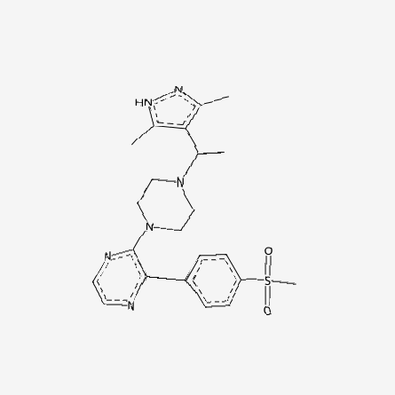 Cc1n[nH]c(C)c1C(C)N1CCN(c2nccnc2-c2ccc(S(C)(=O)=O)cc2)CC1